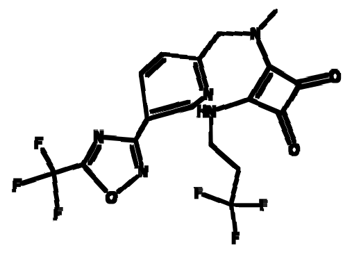 CN(Cc1ccc(-c2noc(C(F)(F)F)n2)cn1)c1c(NCCC(F)(F)F)c(=O)c1=O